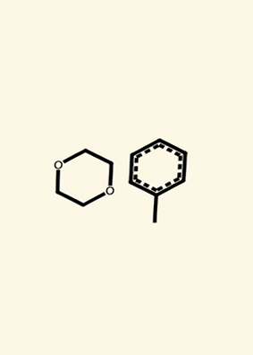 C1COCCO1.Cc1ccccc1